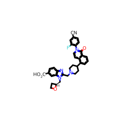 N#Cc1ccc(-n2ccc3c(C4CCN(Cc5nc6ccc(C(=O)O)cc6n5C[C@@H]5CCO5)CC4)cccc3c2=O)c(F)c1